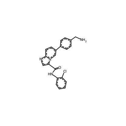 NCc1ccc(-c2ccc3ncc(C(=O)Nc4ccccc4Cl)n3c2)cc1